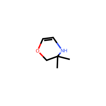 CC1(C)COC=CN1